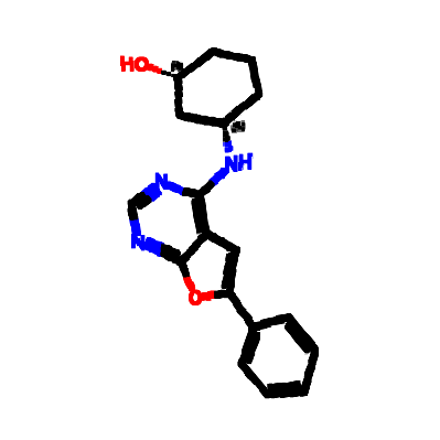 O[C@@H]1CCC[C@H](Nc2ncnc3oc(-c4ccccc4)cc23)C1